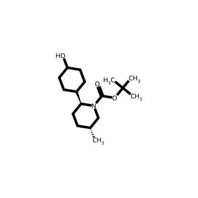 C[C@@H]1CC[C@@H](C2CCC(O)CC2)N(C(=O)OC(C)(C)C)C1